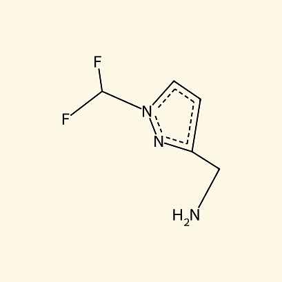 NCc1ccn(C(F)F)n1